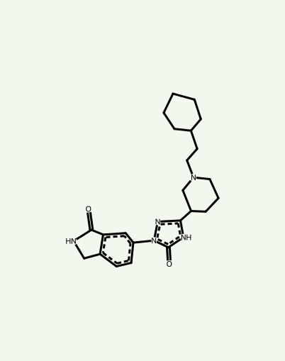 O=C1NCc2ccc(-n3nc(C4CCCN(CCC5CCCCC5)C4)[nH]c3=O)cc21